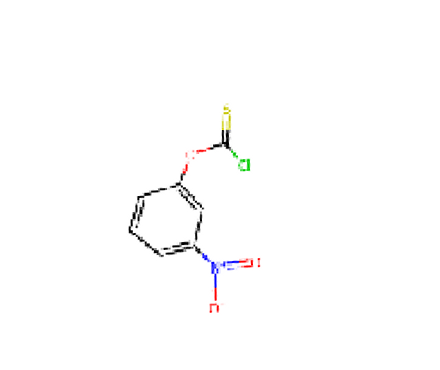 O=[N+]([O-])c1cccc(OC(=S)Cl)c1